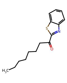 CCCCCCCC(=O)c1nc2ccccc2s1